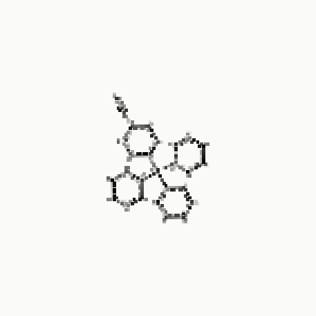 [C-]#N.c1ccc([P+](c2ccccc2)(c2ccccc2)c2ccccc2)cc1